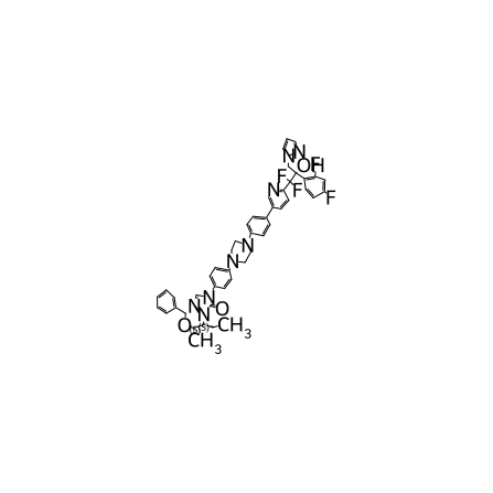 CC[C@@H]([C@H](C)OCc1ccccc1)n1ncn(-c2ccc(N3CCN(c4ccc(-c5ccc(C(F)(F)C(O)(Cn6cccn6)c6ccc(F)cc6F)nc5)cc4)CC3)cc2)c1=O